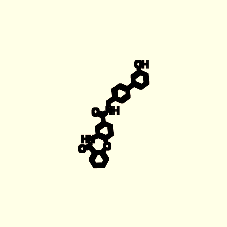 O=C(NCc1ccc(-c2cccc(O)c2)cc1)c1ccc2c(c1)NC(=O)c1ccccc1O2